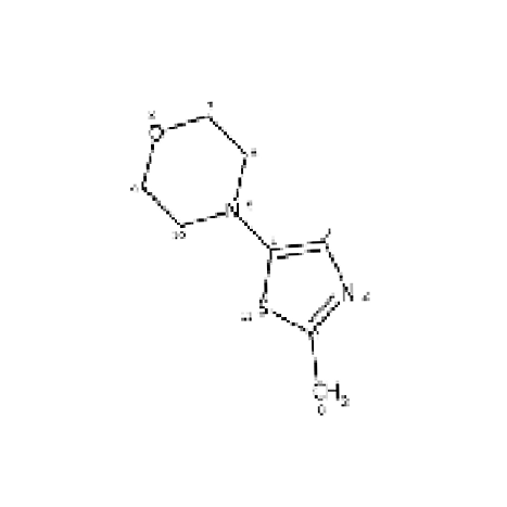 Cc1ncc(N2CCOCC2)s1